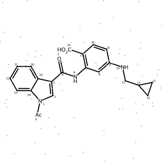 CC(=O)n1cc(C(=O)Nc2cc(NCC3CC3)ccc2C(=O)O)c2ccccc21